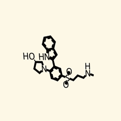 CNCCCS(=O)(=O)c1ccc(N2CC[C@H](O)C2)c(-c2cc3ccccc3[nH]2)c1